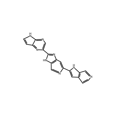 c1cc2cc(-c3cc4nc(-c5cnc6[nH]ccc6n5)[nH]c4cn3)[nH]c2cn1